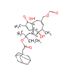 CC1=C[C@H]2[C@@](O)([C@H](C)CC(C)(C)OC(=O)CC34CC5CC(CC(C5)C3)C4)C(C)C=C(COC=O)C[C@]2(O)C1=O